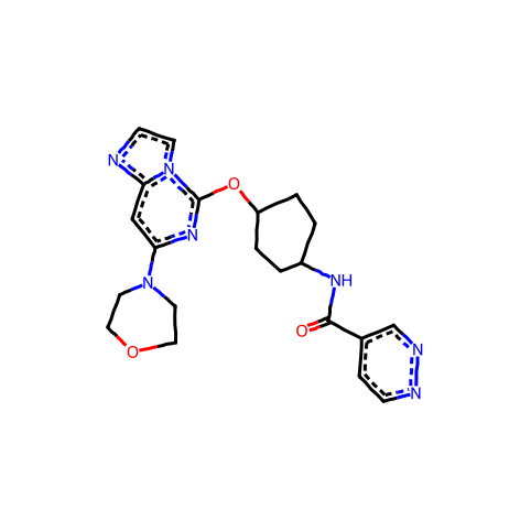 O=C(NC1CCC(Oc2nc(N3CCOCC3)cc3nccn23)CC1)c1ccnnc1